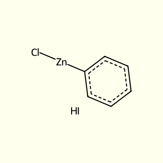 I.[Cl][Zn][c]1ccccc1